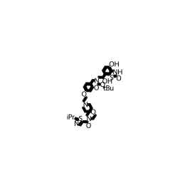 CC(C)c1ncc(C(=O)N2CCOC3(CCN(CCOc4ccc(CN(C[C@H](O)c5ccc(O)c6[nH]c(=O)sc56)C(=O)OC(C)(C)C)cc4)CC3)C2)s1